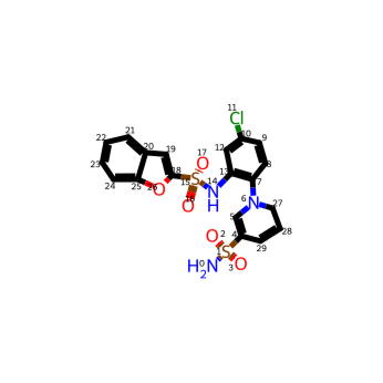 NS(=O)(=O)C1=CN(c2ccc(Cl)cc2NS(=O)(=O)c2cc3ccccc3o2)CC=C1